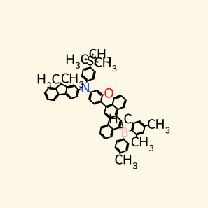 Cc1ccc(B(c2c(C)cc(C)cc2C)c2cc3c4cccc5c4c(cc3c3ccccc23)-c2ccc(N(c3ccc([Si](C)(C)C)cc3)c3ccc4c(c3)C(C)(C)c3ccccc3-4)cc2O5)cc1